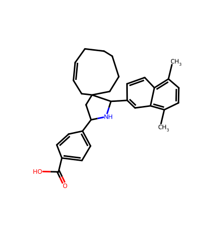 Cc1ccc(C)c2cc(C3NC(c4ccc(C(=O)O)cc4)CC34C/C=C\CCCCC4)ccc12